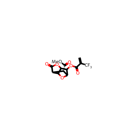 C=C(C(=O)OC1C2OC(=O)C3C2OC1[C@H]3C(=O)OC)C(F)(F)F